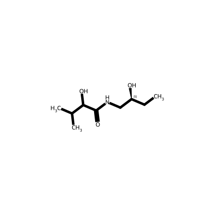 CC[C@H](O)CNC(=O)C(O)C(C)C